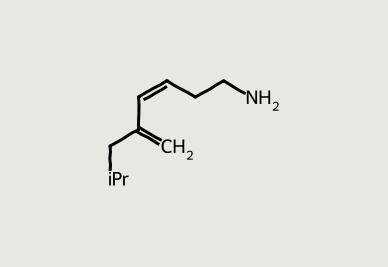 C=C(/C=C\CCN)CC(C)C